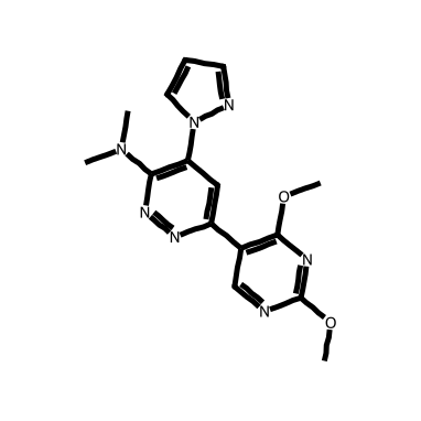 COc1ncc(-c2cc(-n3cccn3)c(N(C)C)nn2)c(OC)n1